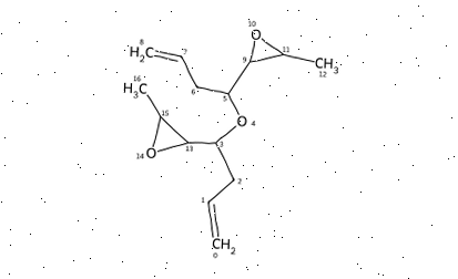 C=CCC(OC(CC=C)C1OC1C)C1OC1C